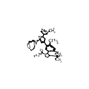 Cc1cc(F)c(C2C(C(C)(C)F)CCN2C(N)=O)cc1-c1cc(-c2cnn(C)c2)nc(N2CCOCC2)c1